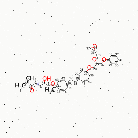 C=C(C)C(=O)/C=C/C(O)COC1(C)C=CC=C(CCC2=CC=C(OCC(COc3ccccc3)OCC3CO3)CC=C2)C=C1